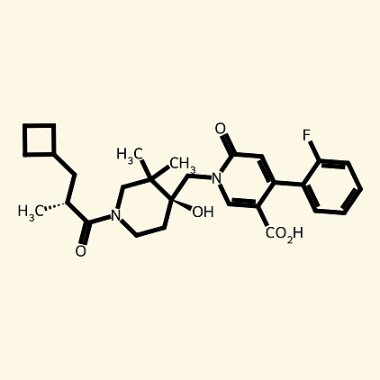 C[C@H](CC1CCC1)C(=O)N1CC[C@@](O)(Cn2cc(C(=O)O)c(-c3ccccc3F)cc2=O)C(C)(C)C1